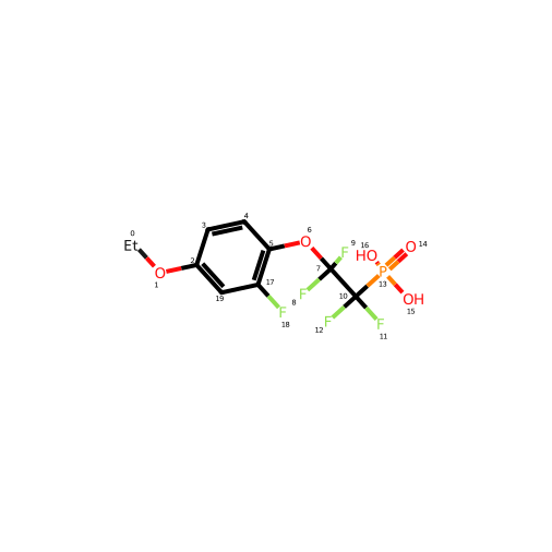 CCOc1ccc(OC(F)(F)C(F)(F)P(=O)(O)O)c(F)c1